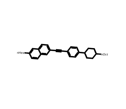 CCCCCCCCC1CCC(c2ccc(C#Cc3ccc4cc(CCCCCC)ccc4c3)cc2)CC1